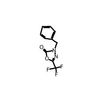 O=c1oc(C(F)(F)F)nn1Cc1ccccc1